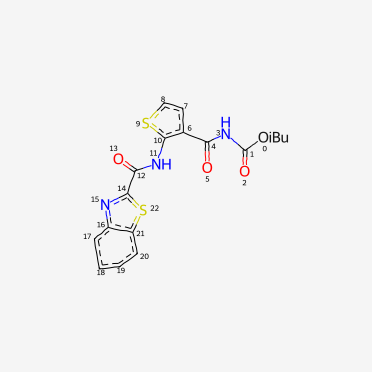 CC(C)COC(=O)NC(=O)c1ccsc1NC(=O)c1nc2ccccc2s1